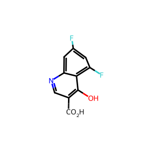 O=C(O)c1cnc2cc(F)cc(F)c2c1O